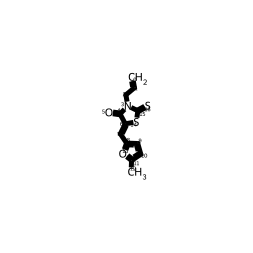 C=CCN1C(=O)C(=Cc2ccc(C)o2)SC1=S